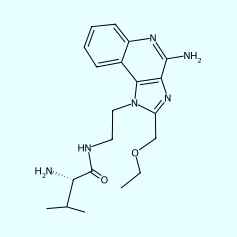 CCOCc1nc2c(N)nc3ccccc3c2n1CCNC(=O)[C@@H](N)C(C)C